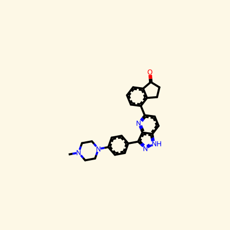 CN1CCN(c2ccc(-c3n[nH]c4ccc(-c5cccc6c5CCC6=O)nc34)cc2)CC1